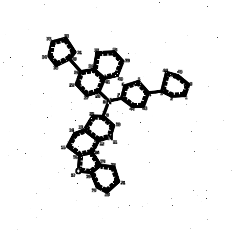 c1ccc(-c2ccc(N(c3cnc4c(ccc5oc6ccccc6c54)c3)c3ccc(-c4ccccc4)c4ccccc34)cc2)cc1